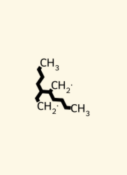 [CH2]CC(CCCC)C([CH2])CCCC